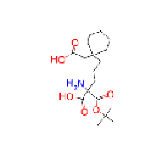 CC(C)(C)OC(=O)C(N)(CCCC1(CC(=O)O)CCCCC1)C(=O)O